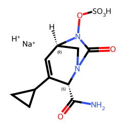 NC(=O)[C@@H]1C(C2CC2)=C[C@@H]2CN1C(=O)N2OS(=O)(=O)O.[H+].[Na+]